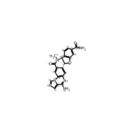 CN(C(=O)c1ccc2nc(N)c3cncn3c2c1)[C@@H]1COc2cc(C(N)=O)ccc21